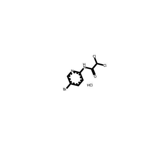 Cl.O=C(Nc1ccc(Br)cn1)C(Cl)Cl